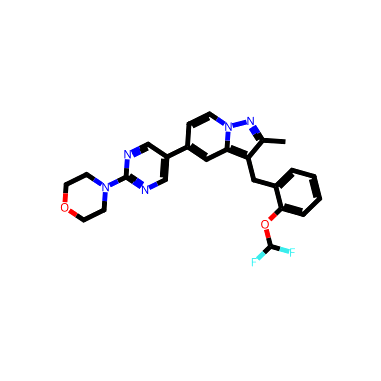 Cc1nn2ccc(-c3cnc(N4CCOCC4)nc3)cc2c1Cc1ccccc1OC(F)F